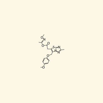 CON=C(C)OC(=O)Cc1sc2nc(C)nn2c1COc1ccc(OC)cc1